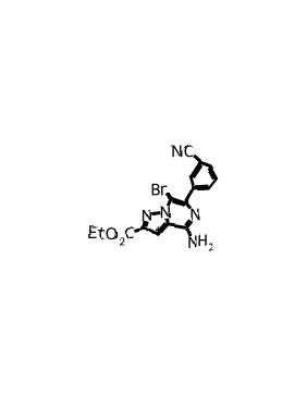 CCOC(=O)c1cc2c(N)nc(-c3cccc(C#N)c3)c(Br)n2n1